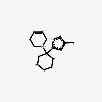 Cc1csc(C2(N3CC=CCC3)CCCCC2)c1